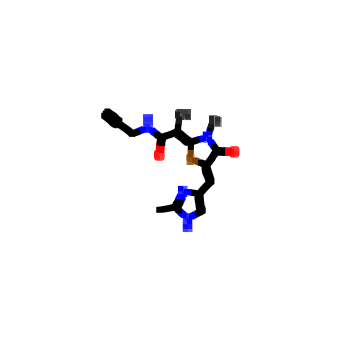 C#CCNC(=O)/C(C#N)=c1\s/c(=C\c2c[nH]c(C)n2)c(=O)n1CC